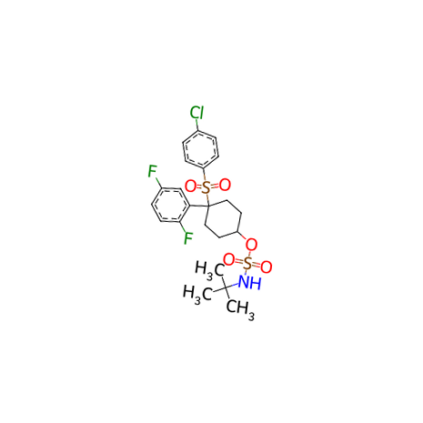 CC(C)(C)NS(=O)(=O)OC1CCC(c2cc(F)ccc2F)(S(=O)(=O)c2ccc(Cl)cc2)CC1